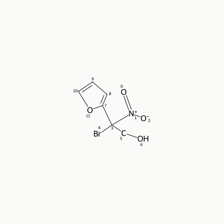 O=[N+]([O-])C(Br)(CO)c1ccco1